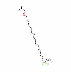 C=C(C)COCCCCCCCCCCCCCCCCC(F)(F)[SiH3]